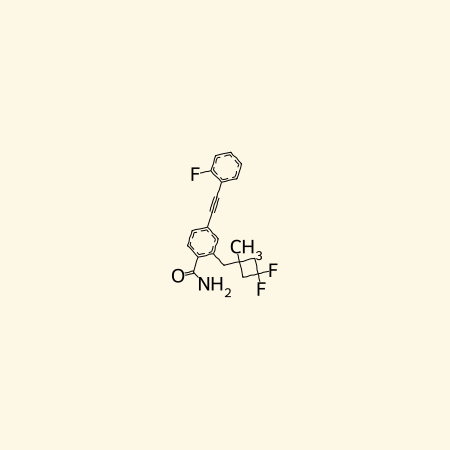 CC1(Cc2cc(C#Cc3ccccc3F)ccc2C(N)=O)CC(F)(F)C1